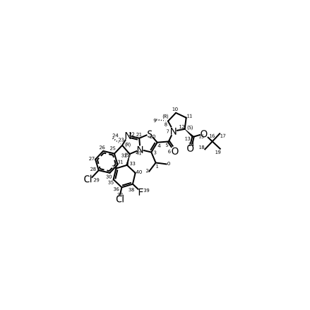 CC(C)C1=C(C(=O)N2[C@H](C)CC[C@H]2C(=O)OC(C)(C)C)SC2=N[C@](C)(c3ccc(Cl)cc3)[C@H](C3C=CC(Cl)=C(F)C3)N21